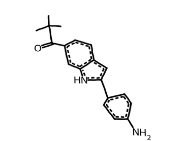 CC(C)(C)C(=O)c1ccc2cc(-c3ccc(N)cc3)[nH]c2c1